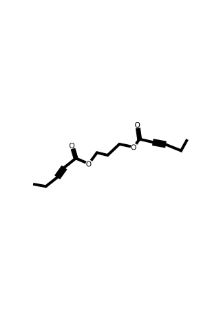 CCC#CC(=O)OCCCOC(=O)C#CCC